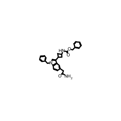 NC(=O)Cc1ccc2c(c1)c(C1CC(NC(=O)OCc3ccccc3)C1)cn2Cc1ccccc1